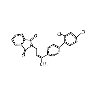 CC(=CCN1C(=O)c2ccccc2C1=O)c1ccc(-c2ccc(Cl)cc2Cl)cc1